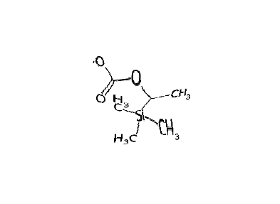 CC(OC([O])=O)[Si](C)(C)C